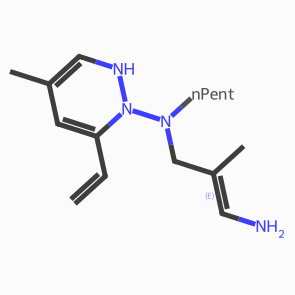 C=CC1=CC(C)=CNN1N(CCCCC)C/C(C)=C/N